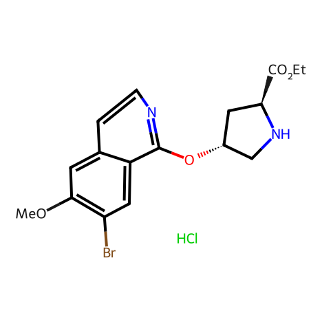 CCOC(=O)[C@@H]1C[C@@H](Oc2nccc3cc(OC)c(Br)cc23)CN1.Cl